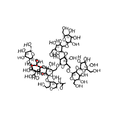 CC(=O)NC1[C@H](C)OC(CO)[C@@H](O[C@@H]2OC(CO[C@H]3OC(CO[C@H]4OC(CO)[C@@H](O)[C@H](O)C4O[C@H]4OC(CO)[C@@H](O)[C@H](O)C4O)[C@@H](O)[C@H](O[C@H]4O[C@@H](CO)[C@@H](O)C(O)C4O[C@H]4O[C@@H](CO)[C@@H](O)C(O)C4O)C3O)[C@@H](O)[C@H](O[C@H]3O[C@@H](CO)[C@@H](O)C(O)C3O[C@H]3O[C@@H](CO)[C@@H](O)C(O)C3O[C@H]3O[C@@H](CO)[C@@H](O)C(O)C3O)C2O)[C@@H]1O